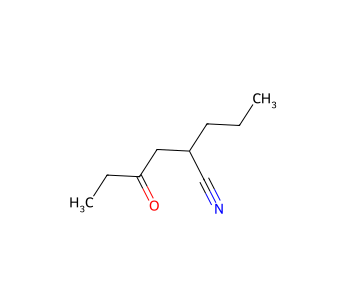 CCCC(C#N)CC(=O)CC